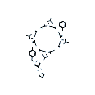 CC(C)C[C@H]1C(=O)O[C@H](Cc2ccc(Cn3cc(S(=O)(=O)N4CCC4)cn3)cc2)C(=O)N(C)[C@@H](CC(C)C)C(=O)O[C@H](C)C(=O)N(C)[C@@H](CC(C)C)C(=O)O[C@H](Cc2ccccc2)C(=O)N(C)[C@@H](CC(C)C)C(=O)O[C@H](C)C(=O)N1C